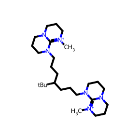 C[N+]1=C2N(CCCC(CCCN3CCCN4CCC[N+](C)=C34)C(C)(C)C)CCCN2CCC1